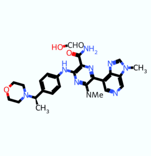 CNc1nc(Nc2ccc([C@@H](C)N3CCOCC3)cc2)c(C(N)=O)nc1-c1cncc2c1ncn2C.O=CO